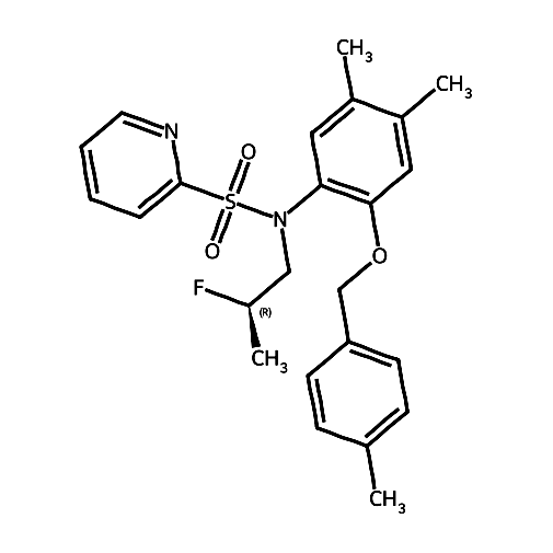 Cc1ccc(COc2cc(C)c(C)cc2N(C[C@@H](C)F)S(=O)(=O)c2ccccn2)cc1